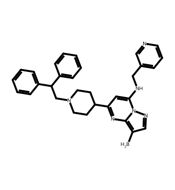 Bc1cnn2c(NCc3cccnc3)cc(C3CCN(CC(c4ccccc4)c4ccccc4)CC3)nc12